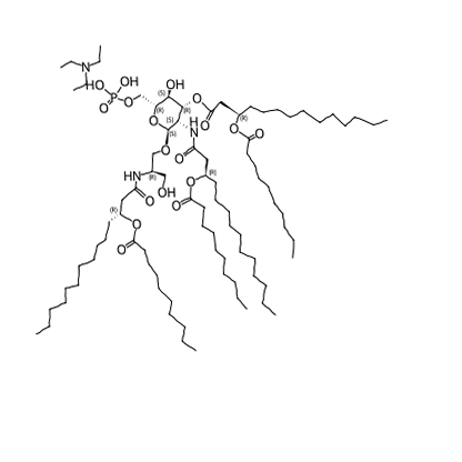 CCCCCCCCCCC[C@H](CC(=O)N[C@H](CO)CO[C@H]1O[C@H](COP(=O)(O)O)[C@@H](O)[C@H](OC(=O)C[C@@H](CCCCCCCCCCC)OC(=O)CCCCCCCCC)[C@@H]1NC(=O)C[C@@H](CCCCCCCCCCC)OC(=O)CCCCCCCCC)OC(=O)CCCCCCCCC.CCN(CC)CC